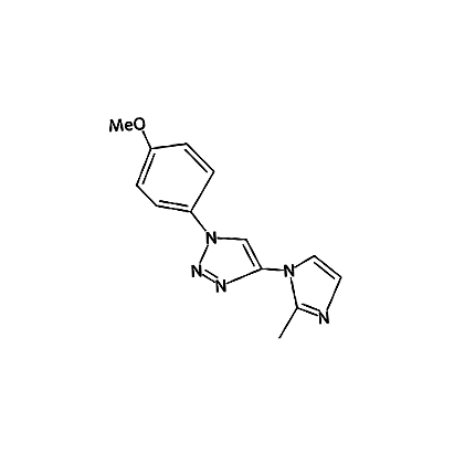 COc1ccc(-n2cc(-n3ccnc3C)nn2)cc1